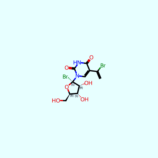 C=C(Br)c1cn([C@]2(Br)O[C@H](CO)[C@@H](O)[C@H]2O)c(=O)[nH]c1=O